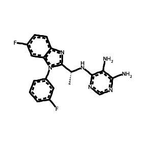 C[C@@H](Nc1ncnc(N)c1N)c1nc2ccc(F)cc2n1-c1cccc(F)c1